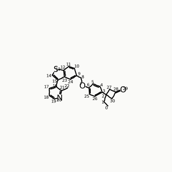 CCC1(c2ccc(OCc3ccc4scc(-c5cccnc5C)c4c3)cc2)CC(=O)C1